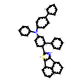 c1ccc(-c2ccc(N(c3ccccc3)c3ccc(-c4nc5c(s4)-c4cccc6cccc-5c46)c(-c4ccccc4)c3)cc2)cc1